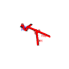 CCCCCCC(O)C/C=C/CCCCCCCC(=O)OCC(COC(=O)CCCCCCC/C=C/CC(O)CCCCCC)OC(=O)CCCCCCC/C=C/CC(CCCCCC)OC(=O)NC1CC(C)(C)CC(C)(CNC(=O)Nc2nc(=O)cc(C)[nH]2)C1